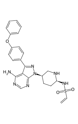 C=CS(=O)(=O)N[C@H]1CC[C@@H](n2nc(-c3ccc(Oc4ccccc4)cc3)c3c(N)ncnc32)CN1